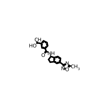 Cc1nc(-c2ccc3c(c2)CC[C@H]3NC(=O)c2cccc(C(C)O)c2)no1